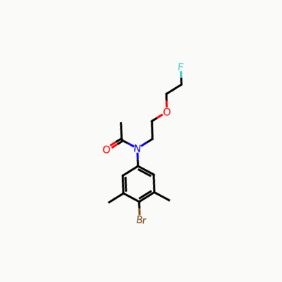 CC(=O)N(CCOCCF)c1cc(C)c(Br)c(C)c1